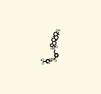 COC(=O)c1ccc(CNC(=O)c2cccc(CCNC(=O)C34CCCC3C3CCC5C(C)(CCC6C(C)(C)C(O)CCC65C)C3CC4)c2)nc1